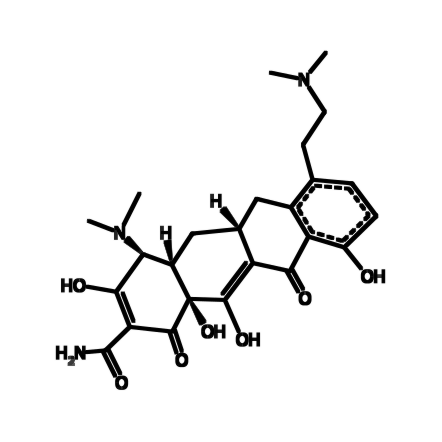 CN(C)CCc1ccc(O)c2c1C[C@H]1C[C@H]3[C@H](N(C)C)C(O)=C(C(N)=O)C(=O)[C@@]3(O)C(O)=C1C2=O